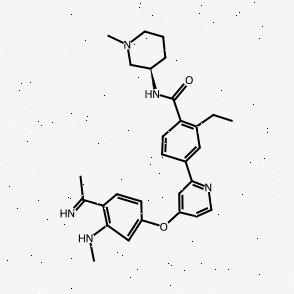 CCc1cc(-c2cc(Oc3ccc(C(C)=N)c(NC)c3)ccn2)ccc1C(=O)N[C@@H]1CCCN(C)C1